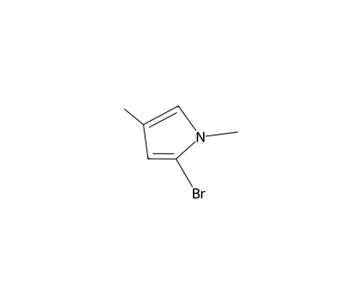 Cc1cc(Br)n(C)c1